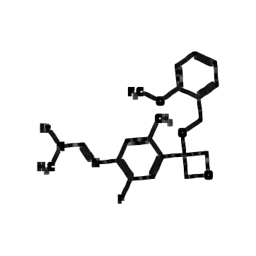 CCN(C)C=Nc1cc(C)c(C2(OCc3ccccc3OC(F)(F)F)COC2)cc1F